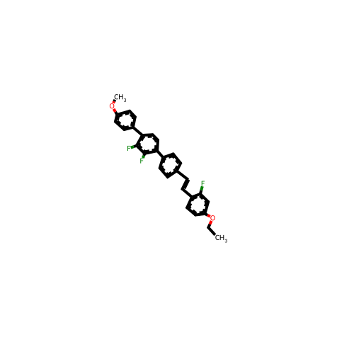 CCOc1ccc(/C=C/c2ccc(-c3ccc(-c4ccc(OC)cc4)c(F)c3F)cc2)c(F)c1